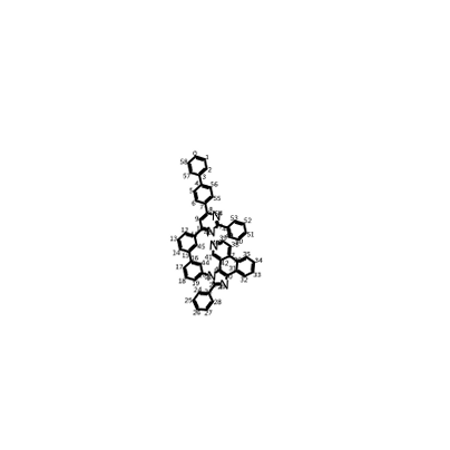 c1ccc(-c2ccc(-c3cc(-c4cccc(-c5cccc(-n6c(-c7ccccc7)nc7c8ccccc8c8ccncc8c76)c5)c4)nc(-c4ccccc4)n3)cc2)cc1